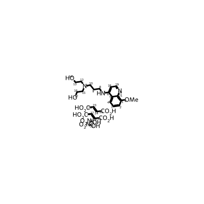 COc1cccc2c(NCCCN(CCO)CCO)ccnc12.O=C(O)C=CC(=O)O.O=C(O)C=CC(=O)O.O=[N+]([O-])O.O=[N+]([O-])O